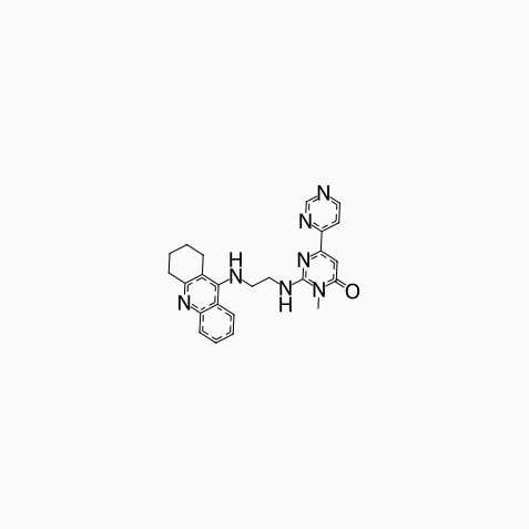 Cn1c(NCCNc2c3c(nc4ccccc24)CCCC3)nc(-c2ccncn2)cc1=O